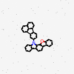 c1cc2c3c(cccc3c1)-c1cc(-n3c4ccccc4c4ccc5c6ccccc6oc5c43)ccc1-2